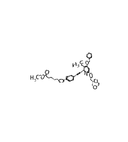 CCOC(=O)CCCCOc1ccc(C#Cc2nc(OCC3COCCO3)cc(OCc3ccccc3)c2CC)cc1